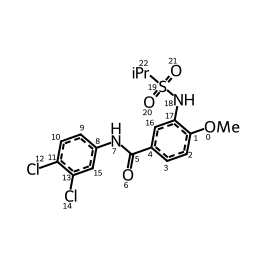 COc1ccc(C(=O)Nc2ccc(Cl)c(Cl)c2)cc1NS(=O)(=O)C(C)C